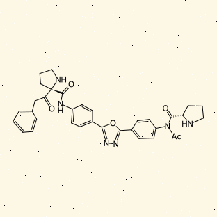 CC(=O)N(C(=O)[C@@H]1CCCN1)c1ccc(-c2nnc(-c3ccc(NC(=O)[C@@]4(C(=O)Cc5ccccc5)CCCN4)cc3)o2)cc1